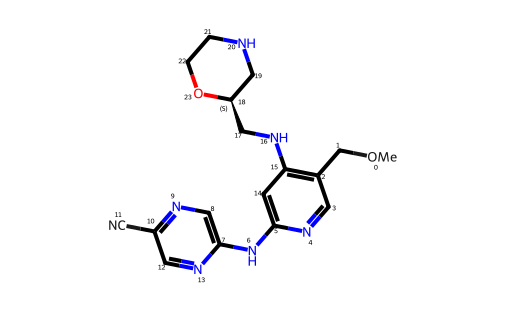 COCc1cnc(Nc2cnc(C#N)cn2)cc1NC[C@@H]1CNCCO1